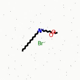 CCCCCCCCCCCCCC[N+](C)(C)CCCCCC(=O)OCC.[Br-]